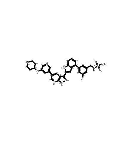 CS(=O)(=O)NCc1cc(F)cc(-c2cccc3[nH]c(-c4n[nH]c5ncc(-c6cncc(OC7CCNCC7)c6)cc45)cc23)c1